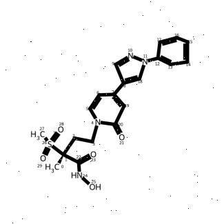 C[C@@](CCn1ccc(-c2cnn(-c3ccccc3)c2)cc1=O)(C(=O)NO)S(C)(=O)=O